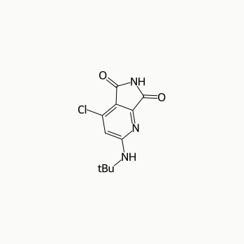 CC(C)(C)Nc1cc(Cl)c2c(n1)C(=O)NC2=O